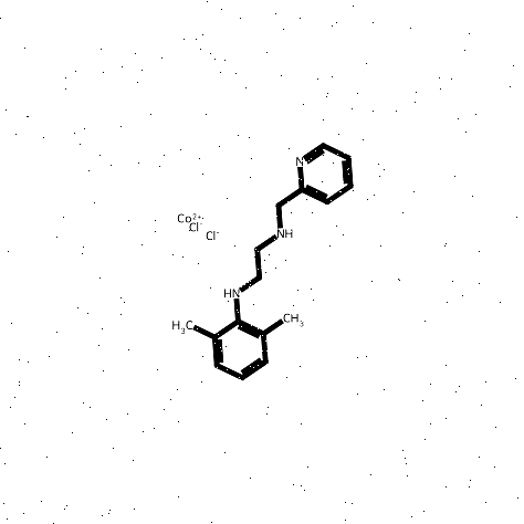 Cc1cccc(C)c1NCCNCc1ccccn1.[Cl-].[Cl-].[Co+2]